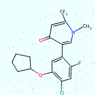 Cn1cc(-c2cc(OC3CCCC3)c(Cl)cc2F)c(=O)cc1C(F)(F)F